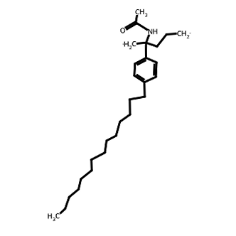 [CH2]CCC([CH2])(NC(C)=O)c1ccc(CCCCCCCCCCCCCC)cc1